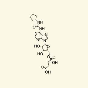 O=C(O)CCP(=O)(O)OC[C@H]1O[C@@H](n2cnc3c(NC(=O)NC4CCCC4)ncnc32)[C@@H](O)C1O